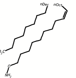 CCCCCCCC/C=C\CCCCCCCCON.CCCCCCCCCCCCCCCCCC(=O)O